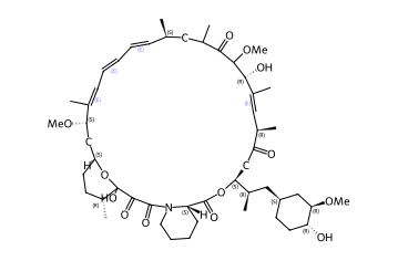 COC1C(=O)C(C)C[C@H](C)/C=C/C=C/C=C(\C)[C@@H](OC)C[C@@H]2CC[C@@H](C)C(O)(O2)C(=O)C(=O)N2CCCC[C@H]2C(=O)O[C@H]([C@H](C)C[C@@H]2CC[C@@H](O)[C@H](OC)C2)CC(=O)[C@H](C)/C=C(\C)[C@H]1O